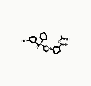 CC(=N)OC(=N)c1cccc(-n2ccc(N(C(=O)c3cccc(O)c3)C3CCCCC3)n2)c1